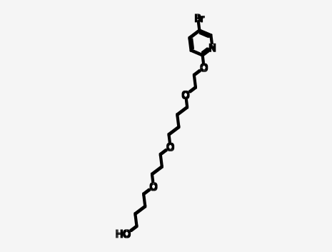 OCCCCOCCCOCCCCOCCOc1ccc(Br)cn1